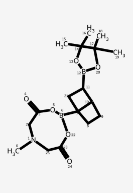 CN1CC(=O)OB(C23CCC2C(B2OC(C)(C)C(C)(C)O2)C3)OC(=O)C1